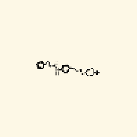 O=C(COc1ccccc1)Nc1ccc(CCCCC2CCNCC2)cc1